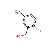 O=[N+]([O-])c1ccc(Cl)c([CH]O)c1